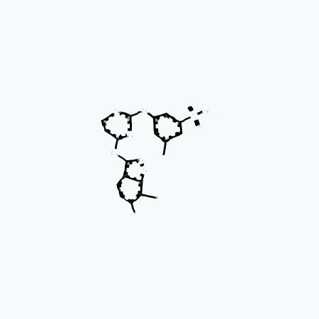 Cc1cc(Nc2nccc(Nc3n[nH]c4c(F)c(F)ccc34)n2)cc(S(N)(=O)=O)c1